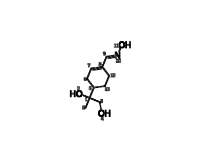 CC(O)(CO)C1CC=C(/C=N/O)CC1